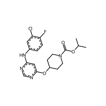 CC(C)OC(=O)N1CCC(Oc2cc(Nc3ccc(F)c(Cl)c3)ncn2)CC1